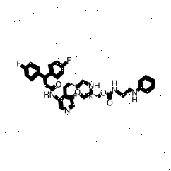 O=C(CC(c1ccc(F)cc1)c1ccc(F)cc1)Nc1cncc(F)c1CC[C@@H]1CN[C@H](COC(=O)NCCNc2ccccc2)CO1